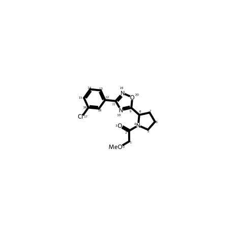 COCC(=O)N1CCCC1c1nc(-c2cccc(Cl)c2)no1